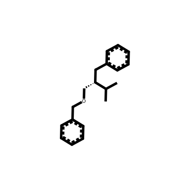 CC(C)[C@H](COCc1ccccc1)Cc1ccccc1